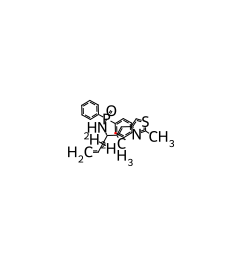 [2H]C([2H])(C=C)[C@@H](NP(=O)(c1ccccc1)c1ccccc1)C(C)=Cc1csc(C)n1